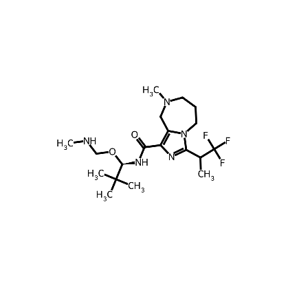 CNCO[C@@H](NC(=O)c1nc(C(C)C(F)(F)F)n2c1CN(C)CCC2)C(C)(C)C